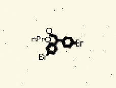 CCCOC(=O)C=C(c1ccc(Br)cc1)c1ccc(Br)cc1